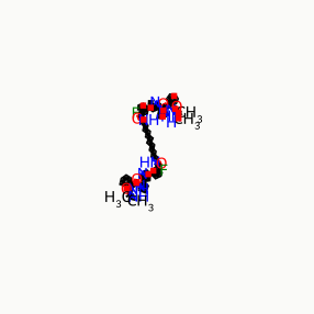 CN[C@@H](C)C(=O)N[C@H](C(=O)N1CCC[C@H]1c1cncc(-c2ccc(F)c(C(=O)NCCCCCCCCCCCCNC(=O)c3cc(-c4cncc([C@@H]5CCCN5C(=O)[C@@H](NC(=O)[C@H](C)NC)C5CCCCC5)c4)ccc3F)c2)c1)C1CCCCC1